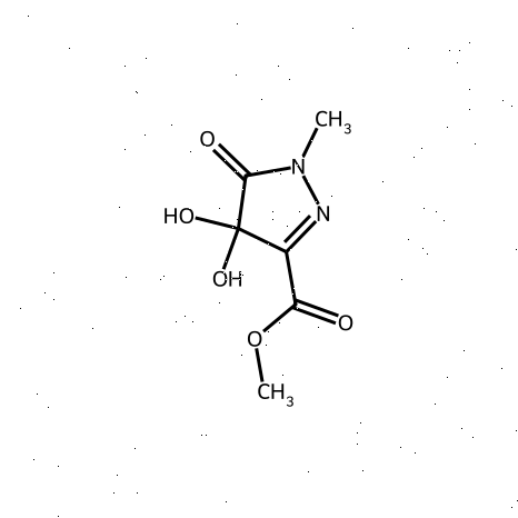 COC(=O)C1=NN(C)C(=O)C1(O)O